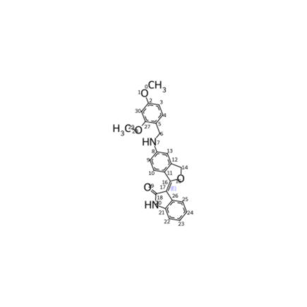 COc1ccc(CNc2ccc3c(c2)CO/C3=C2/C(=O)Nc3ccccc32)c(OC)c1